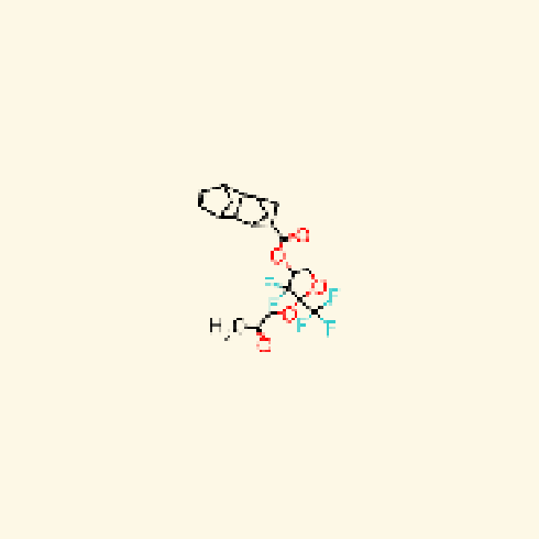 CC(=O)COC1(C(F)(F)F)OCC(OC(=O)C2CC3CC2C2C4C=CC(C4)C32)C1(F)F